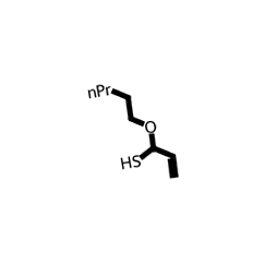 C=C[C](S)OCCCCC